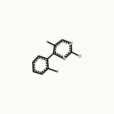 Fc1ccccc1-c1nc(Cl)ncc1I